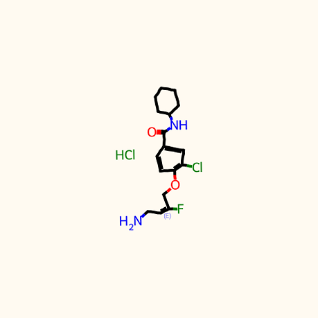 Cl.NC/C=C(/F)COc1ccc(C(=O)NC2CCCCC2)cc1Cl